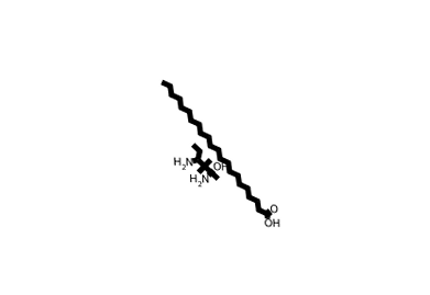 CCC(N)C(C)(C)C(C)(N)O.CCCCCCCCCCCCCCCCCCCCCC(=O)O